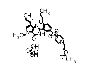 CCCOc1ccc(S(=O)(=O)N2CCN(CCOC(C)=O)CC2)cc1-c1nc2c(CCC)cn(CC)c2c(=O)[nH]1.O=S(=O)(O)O